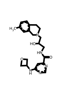 Cc1ccc2c(c1)CN(CC(O)CNC(=O)c1cc(NC3COC3)ncn1)CC2